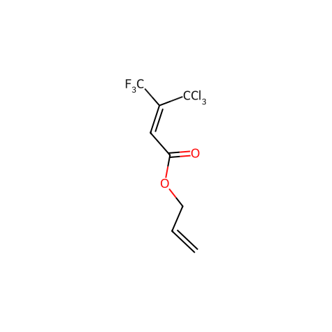 C=CCOC(=O)/C=C(/C(F)(F)F)C(Cl)(Cl)Cl